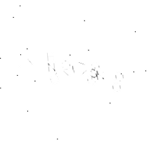 Cc1c(C(=O)NCCC2=CCCCC2)oc2ccc(S(=O)(=O)N3CCC4(CC3)OCCO4)cc12